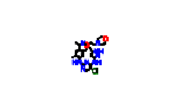 CC(=NOCCN1CCOCC1)c1cc(C)c(Nc2ncc(Cl)c(Nc3cc(C)[nH]n3)n2)cc1C